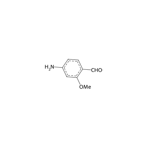 COc1cc(N)ccc1[C]=O